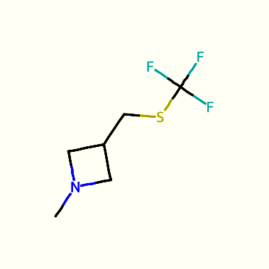 CN1CC(CSC(F)(F)F)C1